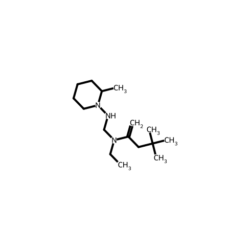 C=C(CC(C)(C)C)N(CC)CNN1CCCCC1C